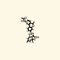 CC(=O)NN1C=CC2=C(C1)c1ccc(OC[C@H](CC(C)C)N(C(=O)O)C(C)(C)C)cc1OC2C